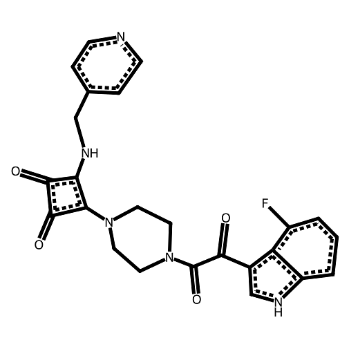 O=C(C(=O)N1CCN(c2c(NCc3ccncc3)c(=O)c2=O)CC1)c1c[nH]c2cccc(F)c12